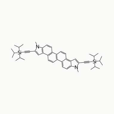 CC(C)[Si](C#Cc1cc2c3ccc4c(ccc5c4ccc4c5cc(C#C[Si](C(C)C)(C(C)C)C(C)C)n4C)c3ccc2n1C)(C(C)C)C(C)C